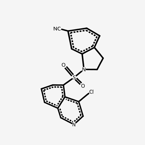 N#Cc1ccc2c(c1)N(S(=O)(=O)c1cccc3cncc(Cl)c13)CC2